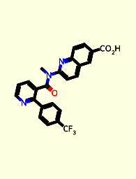 CN(C(=O)c1cccnc1-c1ccc(C(F)(F)F)cc1)c1ccc2cc(C(=O)O)ccc2n1